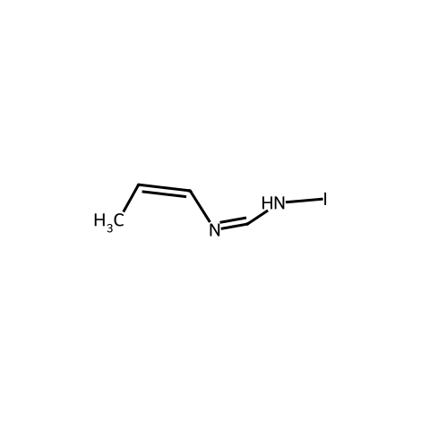 C/C=C\N=C/NI